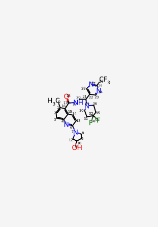 Cc1ccc2nc(N3CCC(O)C3)ccc2c1C(=O)NCC(c1cnc(C(F)(F)F)nc1)N1CCC(F)(F)CC1